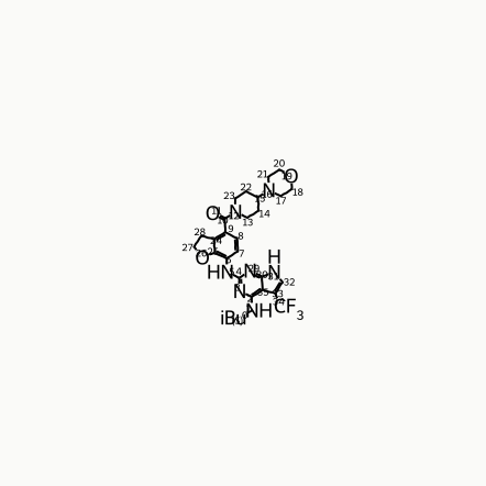 CC[C@H](C)Nc1nc(Nc2ccc(C(=O)N3CCC(N4CCOCC4)CC3)c3c2OCC3)nc2[nH]cc(C(F)(F)F)c12